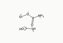 CCOC(N)=O.O=S(=O)(O)S